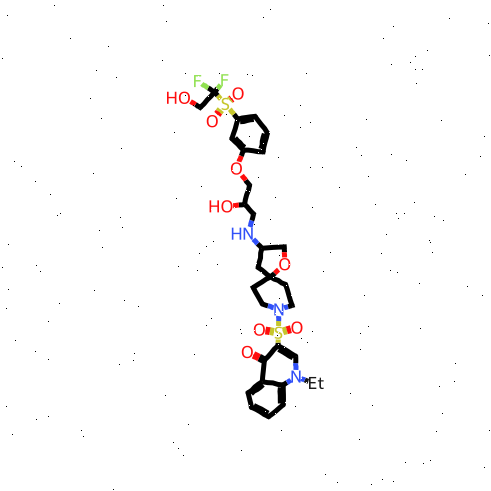 CCn1cc(S(=O)(=O)N2CCC3(CC2)CC(NCC(O)COc2cccc(S(=O)(=O)C(F)(F)CO)c2)CO3)c(=O)c2ccccc21